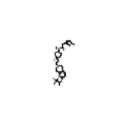 CC(Oc1ccc2c(n1)CCN(CCC1(F)CCC(NC(=O)Cc3ccn(C)n3)CC1)CC2)C(F)(F)F